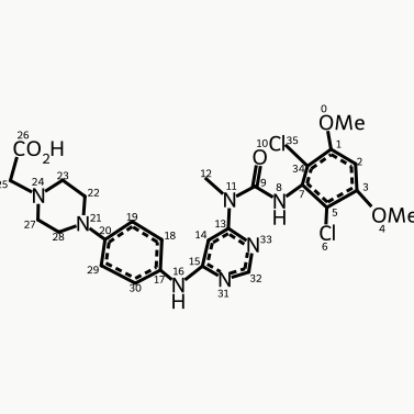 COc1cc(OC)c(Cl)c(NC(=O)N(C)c2cc(Nc3ccc(N4CCN(CC(=O)O)CC4)cc3)ncn2)c1Cl